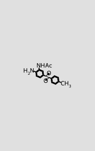 CC(=O)Nc1cc(S(=O)(=O)c2ccc(C)cc2)ccc1N